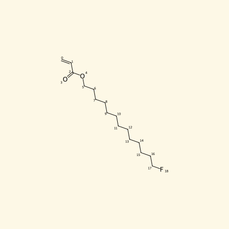 C=CC(=O)OCCCCCCCCCCCCCF